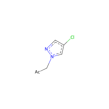 CC(=O)Cn1cc(Cl)cn1